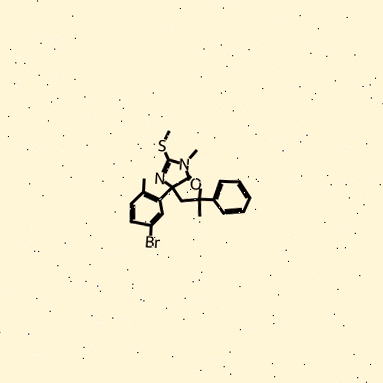 CSC1=NC(CC(C)(C)c2ccccc2)(c2cc(Br)ccc2C)C(=O)N1C